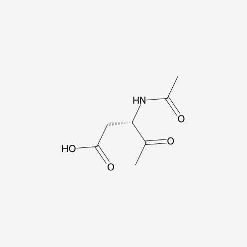 CC(=O)N[C@@H](CC(=O)O)C(C)=O